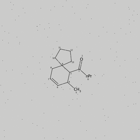 CCCC(=O)C1C(C)C=CCC12CCCC2